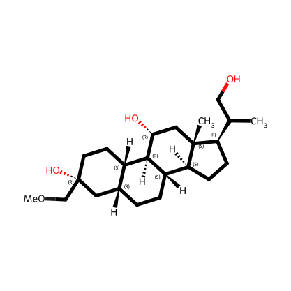 COC[C@@]1(O)CC[C@H]2[C@H](CC[C@@H]3[C@@H]2[C@H](O)C[C@]2(C)[C@@H](C(C)CO)CC[C@@H]32)C1